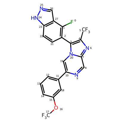 Fc1c(-c2c(C(F)(F)F)nc3cnc(-c4cccc(OC(F)(F)F)c4)cn23)ccc2[nH]ncc12